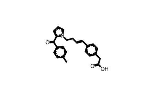 Cc1ccc(C(=O)c2cccn2CC/C=C/c2ccc(CC(=O)O)cc2)cc1